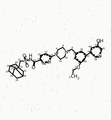 CCOc1cc(CN2CCN(c3ccc(C(=O)NS(=O)(=O)CC45CC6CC(CC(C6)C4)C5)nn3)CC2)cc(-c2cncc(O)c2)c1